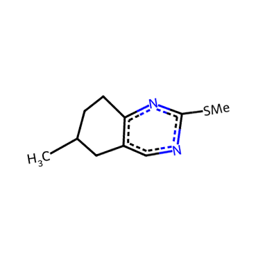 CSc1ncc2c(n1)CCC(C)C2